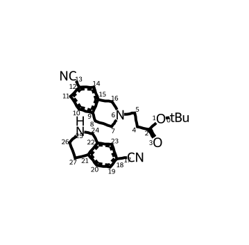 CC(C)(C)OC(=O)CCN1CCc2ccc(C#N)cc2C1.N#Cc1ccc2c(c1)CNCC2